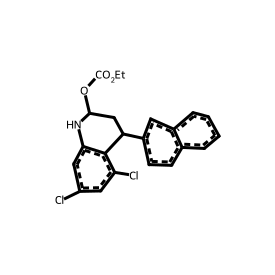 CCOC(=O)OC1CC(c2ccc3ccccc3c2)c2c(Cl)cc(Cl)cc2N1